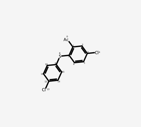 CC(=O)c1cc(Cl)ccc1Sc1ccc(Cl)cc1